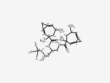 CC1C=C2CC2=CC(C)(C(=O)OCC(C[NH+]([O-])SC(F)(F)F)OC(=O)C2(C)C=C3CC3=CC(C)C2)C1